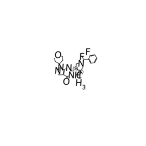 C[C@@H]1CN(C(F)c2ccccc2F)C[C@H]1c1nc2c(cnn2C2CCOCC2)c(=O)[nH]1